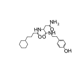 NC(=O)CC(NC(=O)CCCC1CCCCC1)C(=O)NCCc1ccc(O)cc1